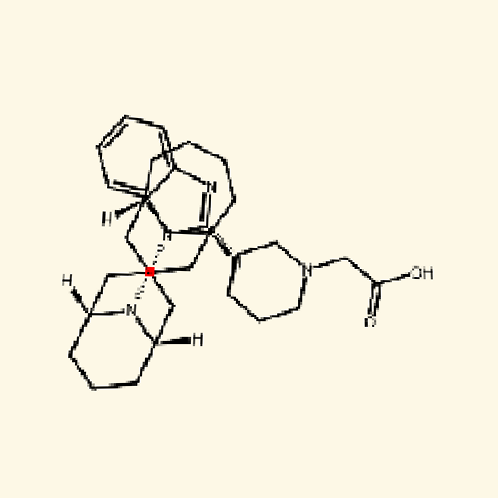 O=C(O)CN1CCC[C@H](c2nc3ccccc3n2[C@H]2C[C@H]3CCC[C@@H](C2)N3[C@@H]2C[C@@H]3CCCC[C@@H](C3)C2)C1